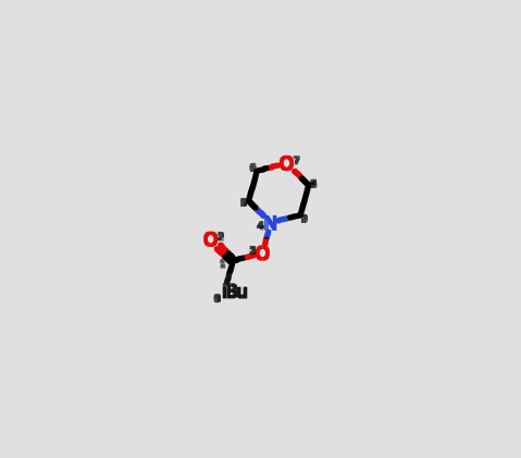 CCC(C)C(=O)ON1CCOCC1